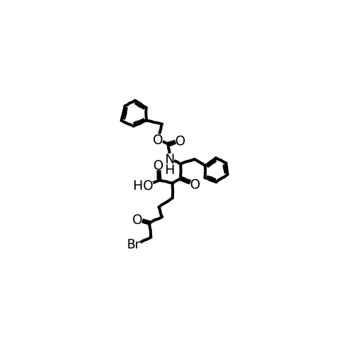 O=C(CBr)CCCC(C(=O)O)C(=O)C(Cc1ccccc1)NC(=O)OCc1ccccc1